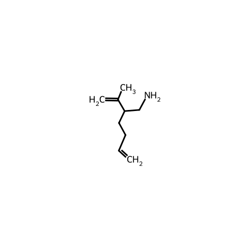 C=CCCC(CN)C(=C)C